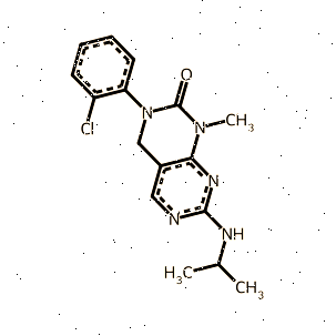 CC(C)Nc1ncc2c(n1)N(C)C(=O)N(c1ccccc1Cl)C2